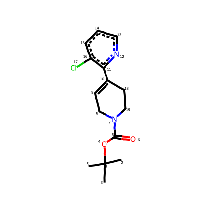 CC(C)(C)OC(=O)N1CC=C(c2ncccc2Cl)CC1